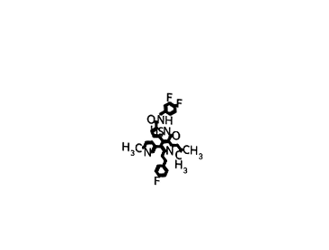 Cc1ccc(-c2c(CCc3ccc(F)cc3)nc(CC(C)C)c(C(N)=O)c2-c2ccc(C(=O)NCc3ccc(F)c(F)c3)s2)cn1